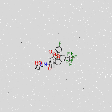 O=CC1C[C@@H](C(=O)NCC2(O)CCC2)[C@@H]2CCc3cc(C(F)(C(F)(F)F)C(F)(F)F)ccc3[C@@]12S(=O)(=O)c1ccc(F)cc1